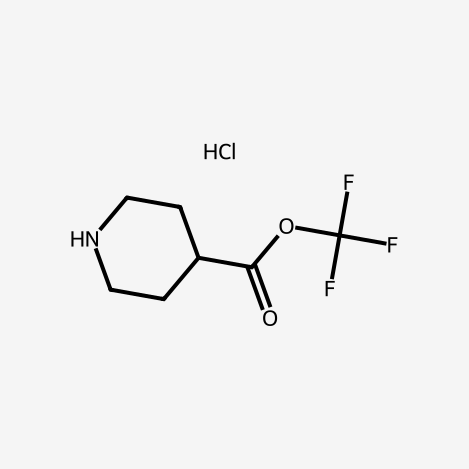 Cl.O=C(OC(F)(F)F)C1CCNCC1